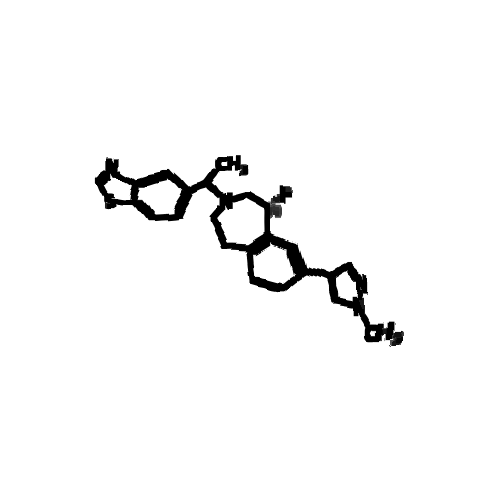 CC(c1ccc2scnc2c1)N1CCc2ccc(-c3cnn(C)c3)cc2[C@@H](F)C1